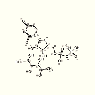 C[C@@H](O)[C@H](O)[C@H](O)[C@@H](O)C=O.O=c1ccn([C@@H]2O[C@H](COP(=O)(O)OP(=O)(O)O)[C@@H](O)[C@H]2O)c(=O)[nH]1